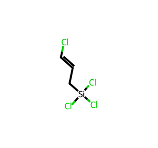 ClC=CC[Si](Cl)(Cl)Cl